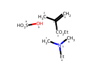 C=C(C)C(=O)OCC.CCN(C)C.O=S(=O)(O)O